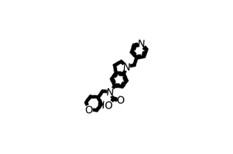 O=C(O)N(CC1CCOCC1)c1ccc2c(c1)CCN2Cc1ccncc1